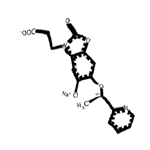 C[C@@H](Oc1cc2oc(=O)n(CCC(=O)[O-])c2cc1Cl)c1ccccn1.[Na+]